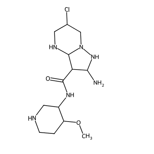 COC1CCNCC1NC(=O)C1C(N)NN2CC(Cl)CNC12